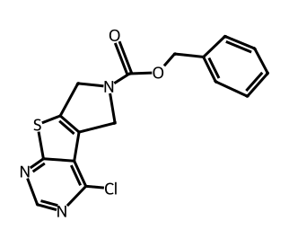 O=C(OCc1ccccc1)N1Cc2sc3ncnc(Cl)c3c2C1